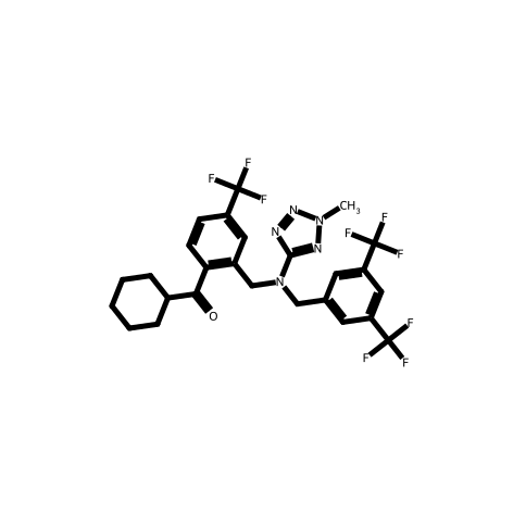 Cn1nnc(N(Cc2cc(C(F)(F)F)cc(C(F)(F)F)c2)Cc2cc(C(F)(F)F)ccc2C(=O)C2CCCCC2)n1